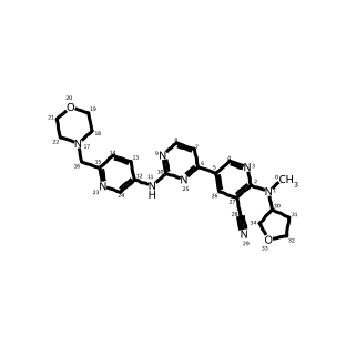 CN(c1ncc(-c2ccnc(Nc3ccc(CN4CCOCC4)nc3)n2)cc1C#N)C1CCOC1